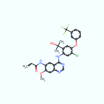 C=CC(=O)Nc1cc2c(Nc3cc(Cl)c(Oc4cccc(C(F)(F)F)c4)cc3C(C)(C)O)ncnc2cc1OC